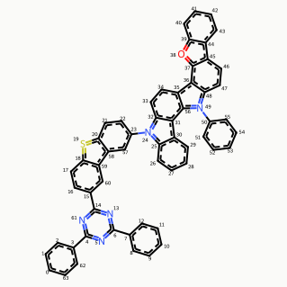 c1ccc(-c2nc(-c3ccccc3)nc(-c3ccc4sc5ccc(-n6c7ccccc7c7c6ccc6c8c9oc%10ccccc%10c9ccc8n(-c8ccccc8)c67)cc5c4c3)n2)cc1